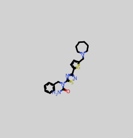 NC(=O)N(Cc1ccccc1)c1nc(-c2ccc(CN3CCCCCC3)s2)ns1